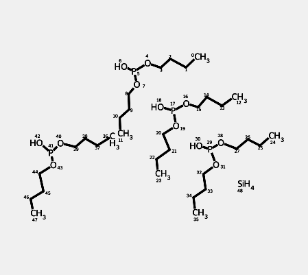 CCCCOP(O)OCCCC.CCCCOP(O)OCCCC.CCCCOP(O)OCCCC.CCCCOP(O)OCCCC.[SiH4]